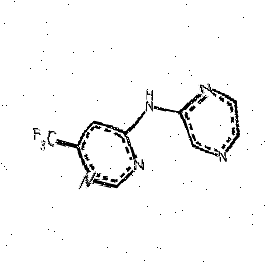 FC(F)(F)c1cc(Nc2cnccn2)ncn1